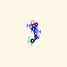 Cc1nc(NCc2cnn(Cc3cc(F)c(F)c(F)c3)c2)nc2c1NC(=O)C1CCCN21